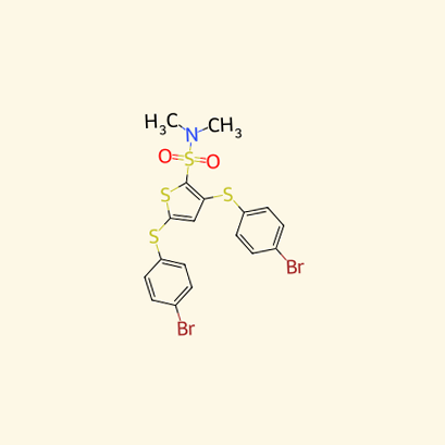 CN(C)S(=O)(=O)c1sc(Sc2ccc(Br)cc2)cc1Sc1ccc(Br)cc1